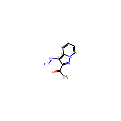 CC(=O)c1nn2ccccc2c1NN